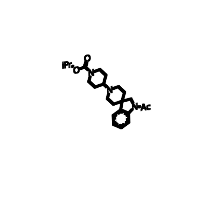 CC(=O)N1CC2(CCN(C3CCN(C(=O)OC(C)C)CC3)CC2)c2ccccc21